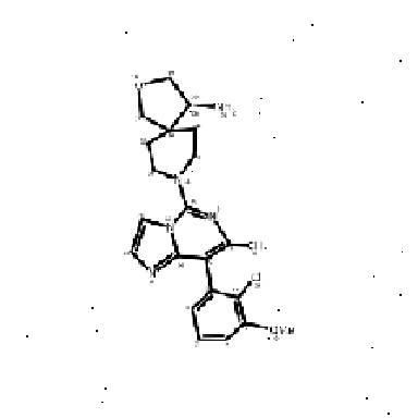 COc1cccc(-c2c(C)nc(N3CCC4(CC3)COC[C@H]4N)n3ccnc23)c1Cl